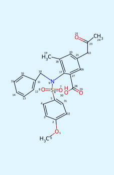 COc1ccc(S(=O)(=O)N(Cc2ccccc2)c2c(C)cc(CC(C)=O)cc2C(=O)O)cc1